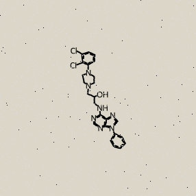 OC(CNc1ncnc2c1ncn2-c1ccccc1)CN1CCN(c2cccc(Cl)c2Cl)CC1